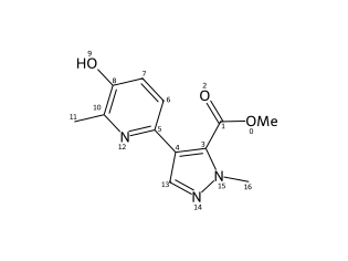 COC(=O)c1c(-c2ccc(O)c(C)n2)cnn1C